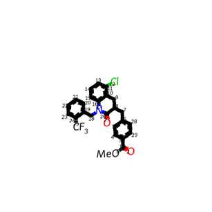 COC(=O)c1ccc(CC2Cc3c(Cl)cccc3N(Cc3ccccc3C(F)(F)F)C2=O)cc1